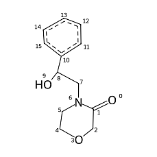 O=C1COCCN1CC(O)c1ccccc1